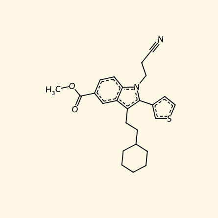 COC(=O)c1ccc2c(c1)c(CCC1CCCCC1)c(-c1ccsc1)n2CCC#N